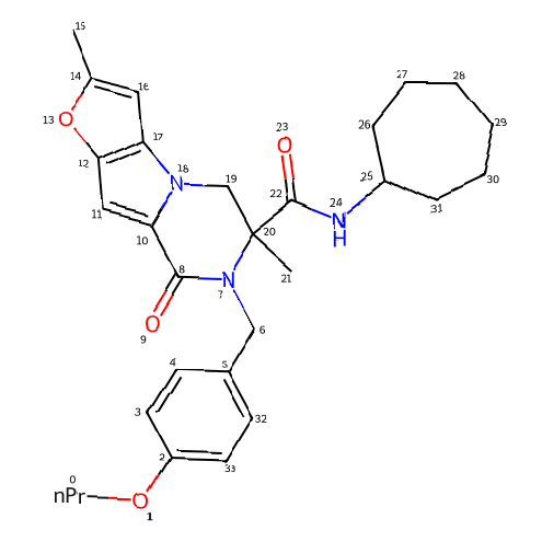 CCCOc1ccc(CN2C(=O)c3cc4oc(C)cc4n3CC2(C)C(=O)NC2CCCCCC2)cc1